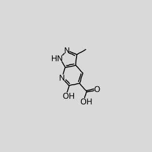 Cc1n[nH]c2nc(O)c(C(=O)O)cc12